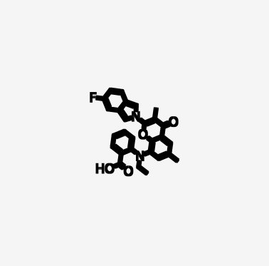 CCN(c1ccccc1C(=O)O)c1cc(C)cc2c(=O)c(C)c(-n3cc4ccc(F)cc4c3)oc12